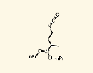 CCC[O][Zr]([O]CCC)[CH](C)CCN=C=O